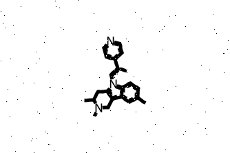 CC(=Cn1c2c(c3cc(C)ccc31)CN(C)C(C)C2)c1ccncc1